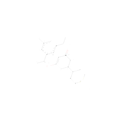 CCc1cc(C)cc(CC)c1C1=C(O)CC(C2CC[S+]([O-])CC2)CC1=O